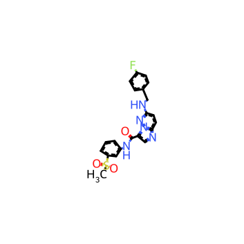 CS(=O)(=O)c1cccc(NC(=O)c2cnc3ccc(NCc4ccc(F)cc4)nn23)c1